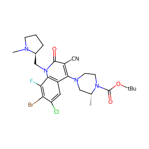 C[C@@H]1CN(c2c(C#N)c(=O)n(C[C@@H]3CCCN3C)c3c(F)c(Br)c(Cl)cc23)CCN1C(=O)OC(C)(C)C